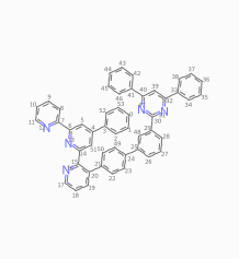 c1ccc(-c2cc(-c3ccccn3)nc(-c3ncccc3-c3ccc(-c4cccc(-c5nc(-c6ccccc6)cc(-c6ccccc6)n5)c4)cc3)c2)cc1